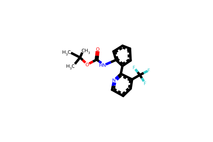 CC(C)(C)OC(=O)Nc1ccccc1-c1ncccc1C(F)(F)F